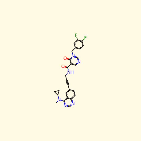 CN(c1ncnc2ccc(C#CCNC(=O)c3cncn(Cc4ccc(F)c(F)c4)c3=O)cc12)C1CC1